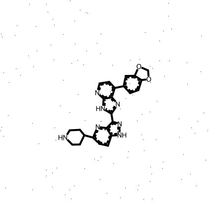 c1cc(-c2ccc3c(c2)OCO3)c2nc(-c3n[nH]c4ccc(C5CCNCC5)nc34)[nH]c2n1